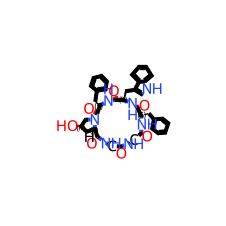 O=C1CNC(=O)[C@H]2C[C@@H](O)CN2C(=O)[C@H](Cc2ccccc2)NC(=O)[C@@H](Cc2c[nH]c3ccccc23)NC(=O)[C@H](Cc2ccccc2)NC(=O)CN1